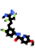 C/N=C(/N)[C@](F)(CF)CCc1cc(NC(=O)c2ccc(OC)cn2)ccc1F